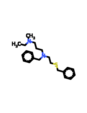 CCN(C)CCCN(CCSCc1ccccc1)Cc1ccccc1